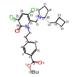 CC(C)(C)OC(=O)c1ccc(CCn2c(CN3CCC[C@@H]3CC3CCC3)c(Cl)cc(Cl)c2=O)cc1